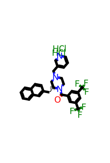 Cl.Cl.O=C(c1cc(C(F)(F)F)cc(C(F)(F)F)c1)N1CCN(Cc2cccnc2)C[C@H]1Cc1ccc2ccccc2c1